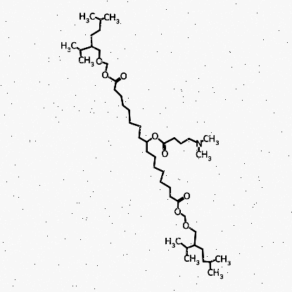 CC(C)CCC(COCOC(=O)CCCCCCCC(CCCCCCCC(=O)OCOCC(CCC(C)C)C(C)C)OC(=O)CCCN(C)C)C(C)C